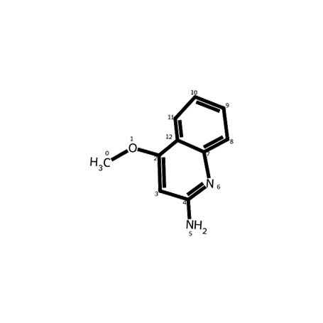 COc1cc(N)nc2ccccc12